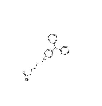 O=C(O)CCCCCS.c1ccc(C(c2ccccc2)c2ccccc2)cc1